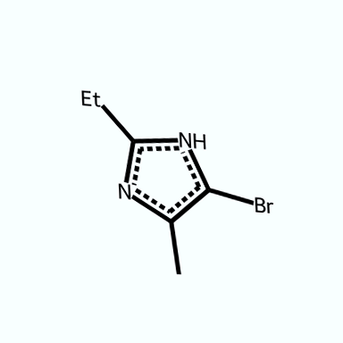 CCc1nc(C)c(Br)[nH]1